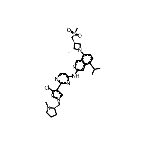 CC(C)c1ccc(N2C[C@H](CS(C)(=O)=O)[C@H]2C)c2cnc(Nc3ccnc(-c4cn(C[C@H]5CCCN5C)nc4Cl)n3)cc12